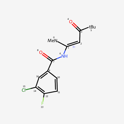 CN/C(=C\C(=O)C(C)(C)C)NC(=O)c1ccc(F)c(Cl)c1